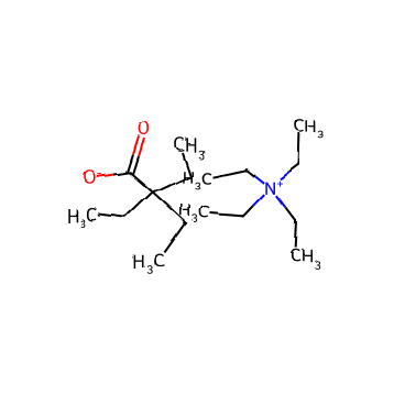 CCC(CC)(CC)C(=O)[O-].CC[N+](CC)(CC)CC